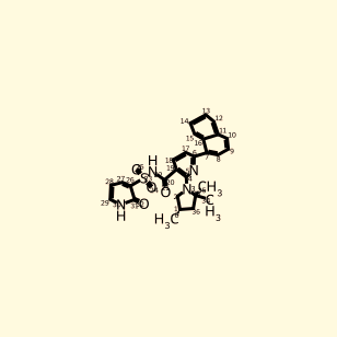 C[C@@H]1CN(c2nc(-c3cccc4ccccc34)ccc2C(=O)NS(=O)(=O)c2ccc[nH]c2=O)C(C)(C)C1